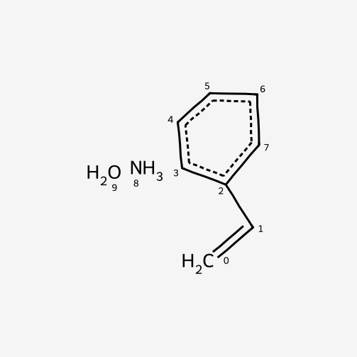 C=Cc1ccccc1.N.O